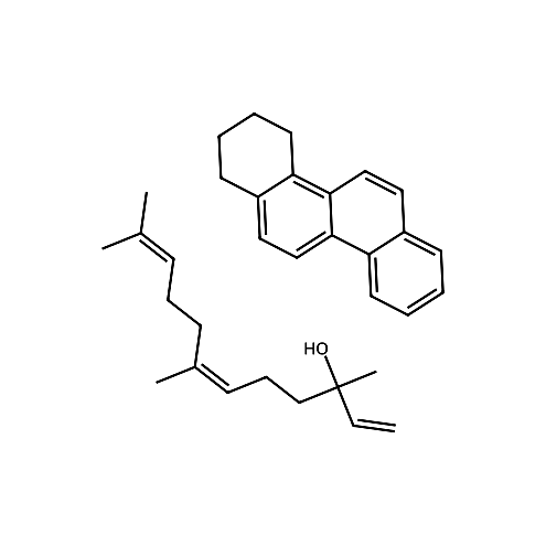 C=CC(C)(O)CCC=C(C)CCC=C(C)C.c1ccc2c(c1)ccc1c3c(ccc12)CCCC3